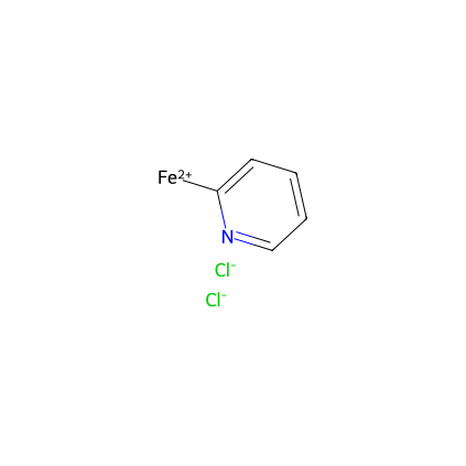 [Cl-].[Cl-].[Fe+2][c]1ccccn1